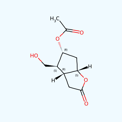 CC(=O)O[C@@H]1C[C@@H]2OC(=O)C[C@@H]2[C@H]1CO